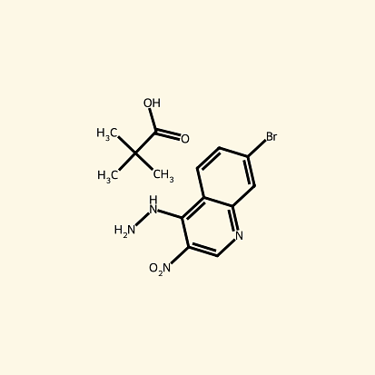 CC(C)(C)C(=O)O.NNc1c([N+](=O)[O-])cnc2cc(Br)ccc12